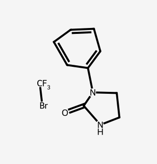 FC(F)(F)Br.O=C1NCCN1c1ccccc1